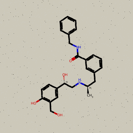 C[C@H](Cc1cccc(C(=O)NCc2ccccc2)c1)NC[C@@H](O)c1ccc(O)c(CO)c1